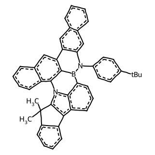 CC(C)(C)c1ccc(N2B3c4c(cc5ccccc5c4-n4c5c(c6cccc3c64)-c3ccccc3C5(C)C)-c3cc4ccccc4cc32)cc1